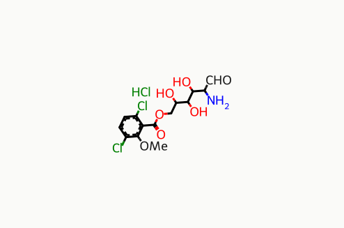 COc1c(Cl)ccc(Cl)c1C(=O)OCC(O)C(O)C(O)C(N)C=O.Cl